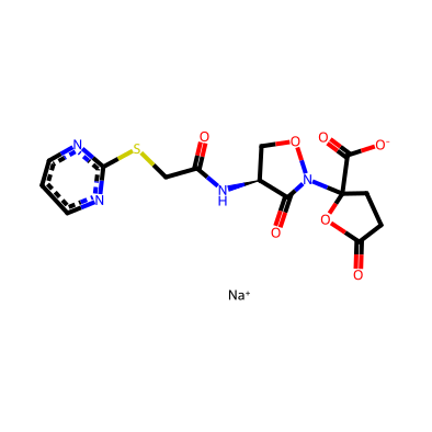 O=C(CSc1ncccn1)N[C@H]1CON(C2(C(=O)[O-])CCC(=O)O2)C1=O.[Na+]